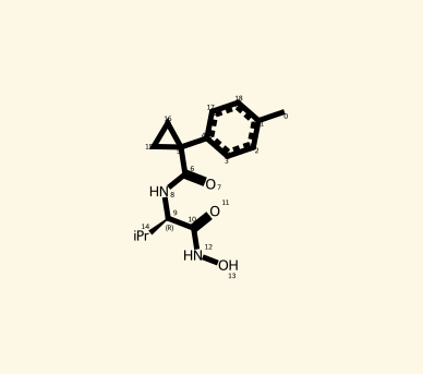 Cc1ccc(C2(C(=O)N[C@@H](C(=O)NO)C(C)C)CC2)cc1